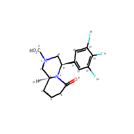 O=C(O)N1C[C@@H]2CCCC(=O)N2[C@H](c2cc(F)c(F)c(F)c2)C1